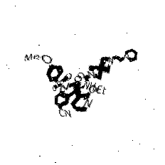 CCOc1ncccc1[C@@]1(NC(=O)N2CC3(CN(CCN4CCCCC4)C3)C2)C(=O)N(S(=O)(=O)c2ccc(OC)cc2)c2ccc(C#N)cc21